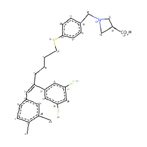 Cc1ccc(C=C(CCCCSc2ccc(CN3CC(C(=O)O)C3)cc2)c2cc(F)cc(F)c2)cc1C